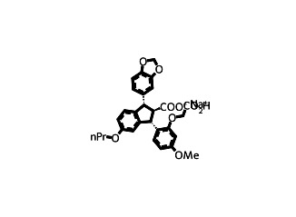 CCCOc1ccc2c(c1)[C@@H](c1ccc(OC)cc1OCC(=O)O)[C@H](C(=O)[O-])[C@H]2c1ccc2c(c1)OCO2.[Na+]